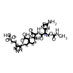 CNC(=O)O/N=C(/C(=O)N[C@@H]1C(=O)N2C(C(=O)O)=C(CSc3nnnn3CCS(=O)(=O)O)CS[C@H]12)c1nsc(N)n1